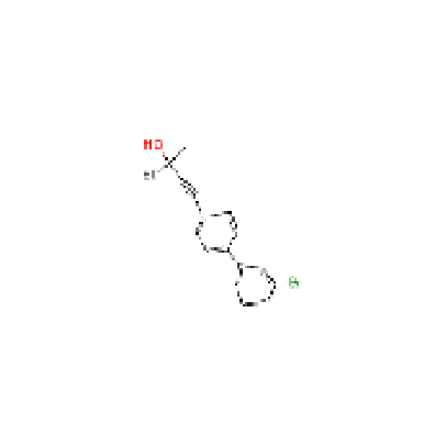 CCC(C)(O)C#Cc1ccc(-c2cccc(Br)c2)cc1